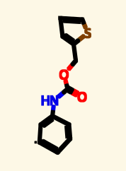 O=C(Nc1c[c]ccc1)OCc1cccs1